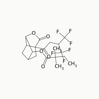 CCC(C)(C)C(=O)OC1C2CC3C1OC(=O)C3(C(=O)CC(C(F)(F)F)C(F)(F)F)C2